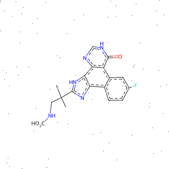 CC(C)(CNC(=O)O)c1nc2c3ccc(F)cc3c3c(=O)[nH]cnc3c2[nH]1